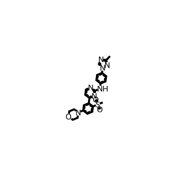 Cc1ncn(-c2ccc(Nc3nccc(-c4cc(N5CCOCC5)ccc4S(C)(=O)=O)n3)cc2)n1